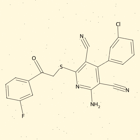 N#Cc1c(N)nc(SCC(=O)c2cccc(F)c2)c(C#N)c1-c1cccc(Cl)c1